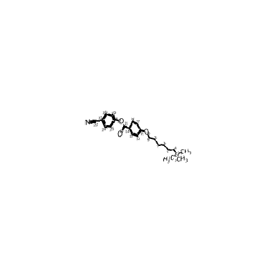 C[Si](C)(C)CCCCCCOc1ccc(C(=O)Oc2ccc(C#N)cc2)cc1